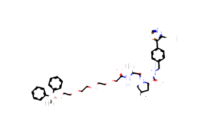 CC(=O)O[C@@H]1C[C@@H](C(=O)NCc2ccc(-c3scnc3C)cc2)N(C(=O)[C@@H](NC(=O)COCCOCCOCCO[Si](c2ccccc2)(c2ccccc2)C(C)(C)C)C(C)(C)C)C1